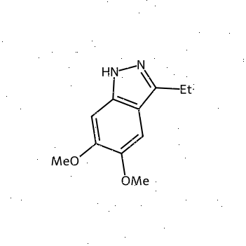 C[CH]c1n[nH]c2cc(OC)c(OC)cc12